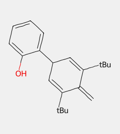 C=C1C(C(C)(C)C)=CC(c2ccccc2O)C=C1C(C)(C)C